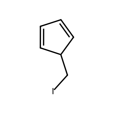 ICC1C=CC=C1